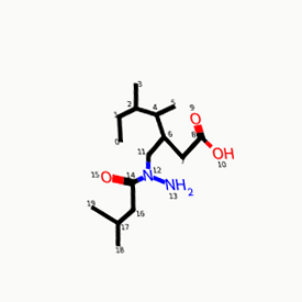 CCC(C)C(C)C(CC(=O)O)CN(N)C(=O)CC(C)C